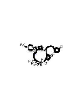 CO[C@@]1(CN2CCN(CC(F)(F)F)CC2)/C=C/C[C@H](C)[C@@H](C)S(=O)(=O)NC(=O)c2ccc3c(c2)N(CCCCc2cc(Cl)ccc2CO3)C[C@@H]2CC[C@H]21